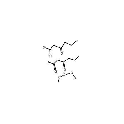 CCCC(=O)CC(=O)[O-].CCCC(=O)CC(=O)[O-].C[O][Zr+2][O]C